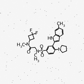 Cc1ccc2cc(-c3cc(S(=O)(=O)N(C)CC(=O)N(C)C4CC(F)(F)C4)ccc3N3CCCC3)[nH]c2c1